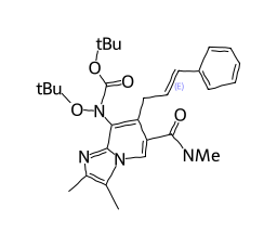 CNC(=O)c1cn2c(C)c(C)nc2c(N(OC(C)(C)C)C(=O)OC(C)(C)C)c1C/C=C/c1ccccc1